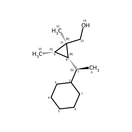 C[C@@H](C1CCCCC1)[C@@H]1[C@H](C)[C@@]1(C)CO